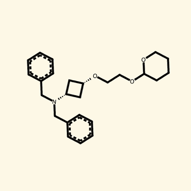 c1ccc(CN(Cc2ccccc2)[C@H]2C[C@@H](OCCOC3CCCCO3)C2)cc1